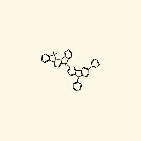 CC1(C)c2ccccc2-c2ccc3c(c21)c1ccccc1n3-c1ccc2c(c1)c1cc(-c3ccccc3)ccc1n2-c1ccccc1